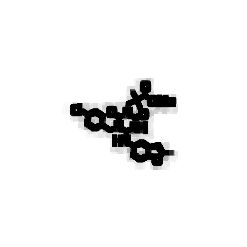 COC(=O)C(C)(C)CN1C(=O)NC(Nc2ccc3oc(C)cc3c2)N(Cc2ccc(Cl)cc2)C1=O